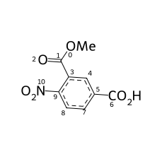 COC(=O)c1cc(C(=O)O)ccc1[N+](=O)[O-]